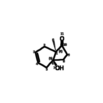 C[C@@]12CC=CC[C@@]1(O)CCC2=O